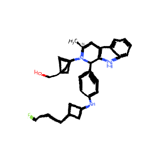 C[C@H]1Cc2c([nH]c3ccccc23)C(c2ccc(NC3CC(CCCF)C3)cc2)N1C12CC(CO)(C1)C2